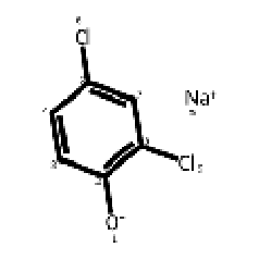 [Na+].[O-]c1ccc(Cl)cc1Cl